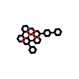 c1ccc(-c2ccc(-c3ccc(N(c4ccccc4-c4ccccc4)c4cccc(-c5ccccc5)c4-c4ccccc4-c4ccccc4)cc3)cc2)cc1